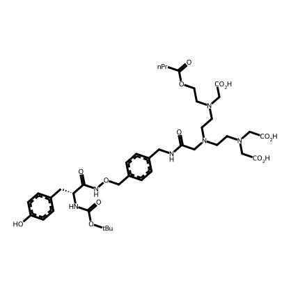 CCCC(=O)OCCN(CCN(CCN(CC(=O)O)CC(=O)O)CC(=O)NCc1ccc(CONC(=O)[C@@H](Cc2ccc(O)cc2)NC(=O)OC(C)(C)C)cc1)CC(=O)O